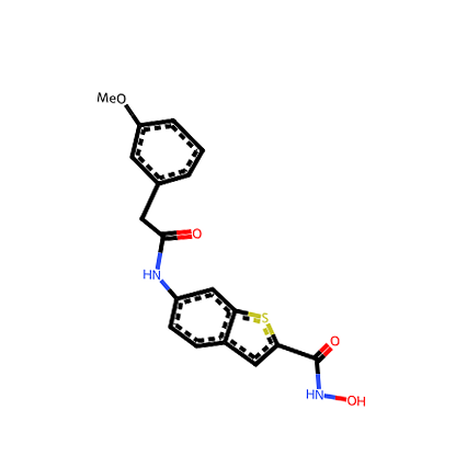 COc1cccc(CC(=O)Nc2ccc3cc(C(=O)NO)sc3c2)c1